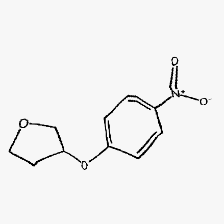 O=[N+]([O-])c1ccc(OC2CCOC2)cc1